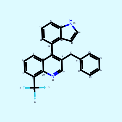 FC(F)(F)c1cccc2c(-c3cccc4[nH]ccc34)c(Cc3ccccc3)cnc12